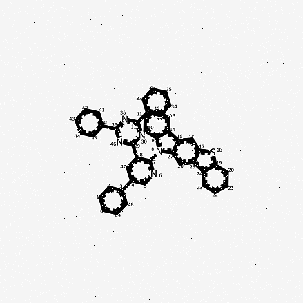 c1ccc(-c2cnc(-n3c4ccccc4c4cc5sc6ccccc6c5cc43)c(-c3nc(-c4ccccc4)nc(-c4ccccc4)n3)c2)cc1